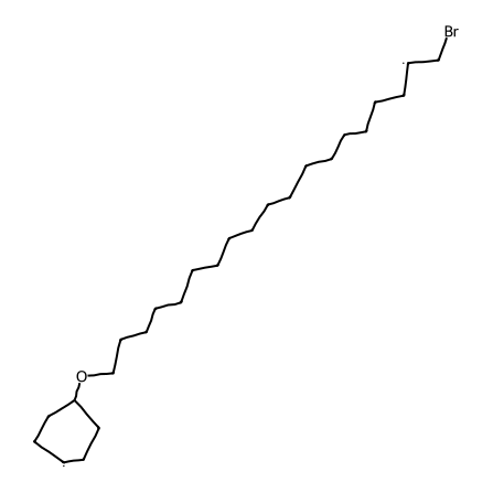 BrC[CH]CCCCCCCCCCCCCCCCCOC1CC[CH]CC1